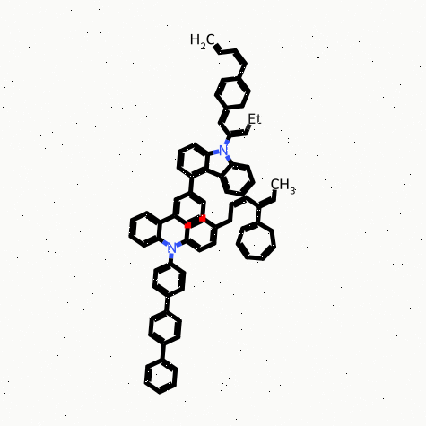 C=C/C=C\C1=CC/C(=C\C(=C/CC)n2c3ccccc3c3c(-c4cccc(-c5ccccc5N(c5ccc(C/C=C\C(=C/C)C6=CC=CC=CC6)cc5)c5ccc(-c6ccc(-c7ccccc7)cc6)cc5)c4)cccc32)C=C1